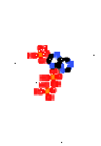 C1=NCNc2nccnc21.O=P(O)(O)O.O=P(O)(O)O.O=P(O)(O)O